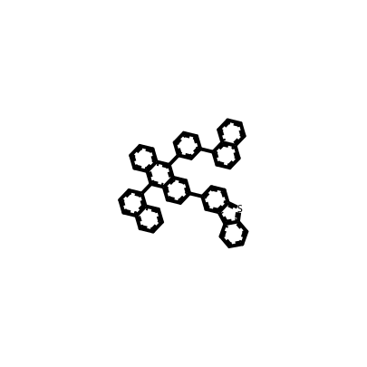 c1cc(-c2cccc3ccccc23)cc(-c2c3ccccc3c(-c3cccc4ccccc34)c3ccc(-c4ccc5sc6ccccc6c5c4)cc23)c1